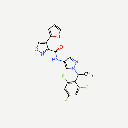 CC(c1c(F)cc(F)cc1F)n1cc(NC(=O)c2nocc2-c2ccco2)cn1